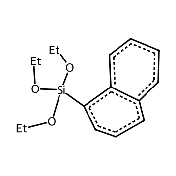 CCO[Si](OCC)(OCC)c1cccc2ccccc12